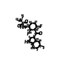 Cc1cnc2[nH]cc(C(=O)c3c(F)ccc(NS(=O)(=O)N(C)C)c3F)c2c1